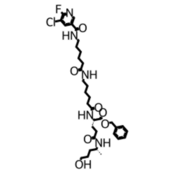 C[C@H](CCCO)NC(=O)CC[C@H](NC(=O)CCCCCNC(=O)CCCCCNC(=O)c1cnc(F)c(Cl)c1)C(=O)OCc1ccccc1